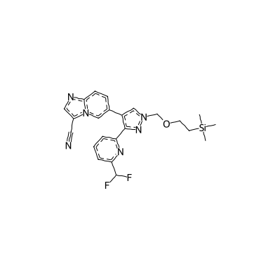 C[Si](C)(C)CCOCn1cc(-c2ccc3ncc(C#N)n3c2)c(-c2cccc(C(F)F)n2)n1